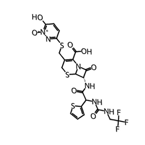 O=C(NCC(F)(F)F)NC(C(=O)N[C@H]1C(=O)N2C(C(=O)O)=C(CSc3ccc(O)[n+]([O-])n3)CSC12)c1cccs1